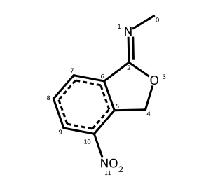 CN=C1OCc2c1cccc2[N+](=O)[O-]